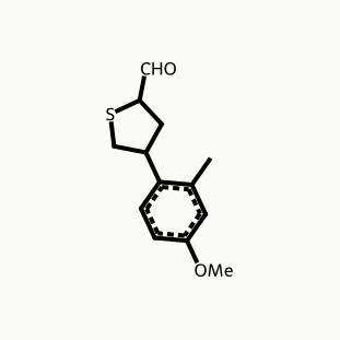 COc1ccc(C2CSC(C=O)C2)c(C)c1